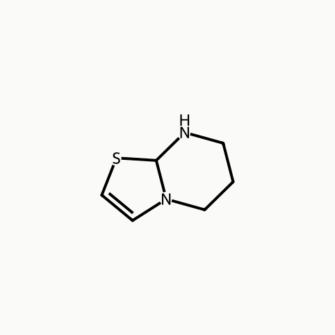 C1=CN2CCCNC2S1